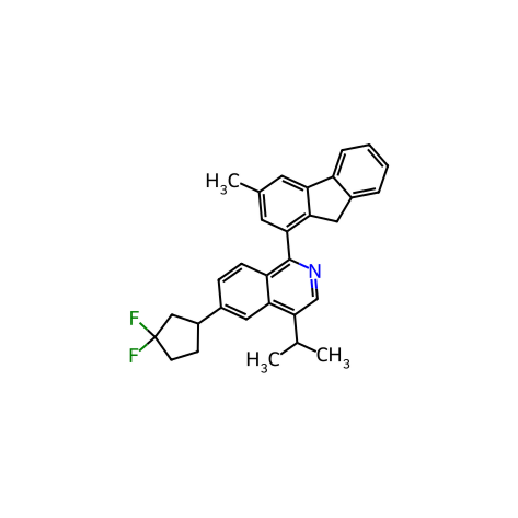 Cc1cc2c(c(-c3ncc(C(C)C)c4cc(C5CCC(F)(F)C5)ccc34)c1)Cc1ccccc1-2